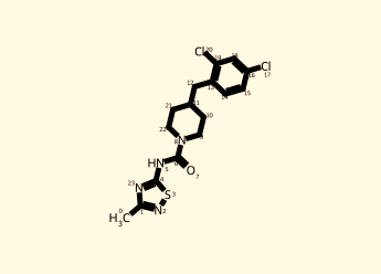 Cc1nsc(NC(=O)N2CCC(Cc3ccc(Cl)cc3Cl)CC2)n1